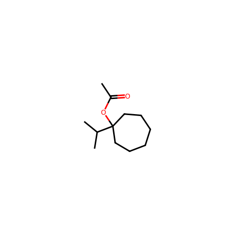 CC(=O)OC1(C(C)C)CCCCCC1